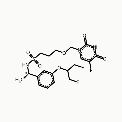 C[C@@H](NS(=O)(=O)CCCOCn1cc(F)c(=O)[nH]c1=O)c1cccc(OC(CF)CF)c1